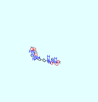 CC(C)OC(=O)N[C@@H](C)C(=O)N1CCC[C@H]1c1ncc(-c2ccc(-c3ccc(-c4cnc(C5CCCN5C(=O)[C@@H](NC(=O)OC(C)C)C(C)C)[nH]4)cc3)cc2)[nH]1